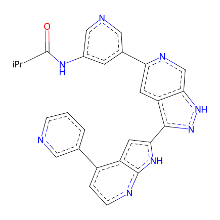 CC(C)C(=O)Nc1cncc(-c2cc3c(-c4cc5c(-c6cccnc6)ccnc5[nH]4)n[nH]c3cn2)c1